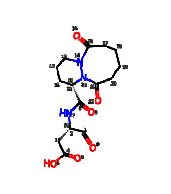 O=C[C@H](CC(=O)O)NC(=O)[C@@H]1CCCN2C(=O)CCCCC(=O)N12